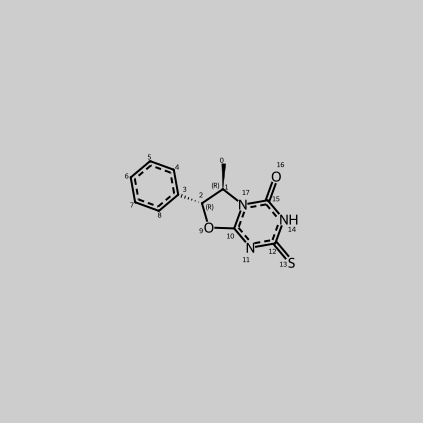 C[C@@H]1[C@@H](c2ccccc2)Oc2nc(=S)[nH]c(=O)n21